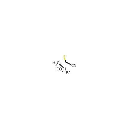 CC(=O)O.N#CC[S-].[K+]